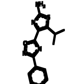 CC(C)c1sc(N)nc1-c1nc(-c2ccccc2)no1